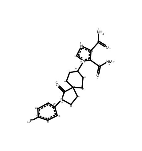 CNC(=O)c1c(C(N)=O)ncn1C1CCC2(CC1)CCN(c1ccc(F)cc1)C2=O